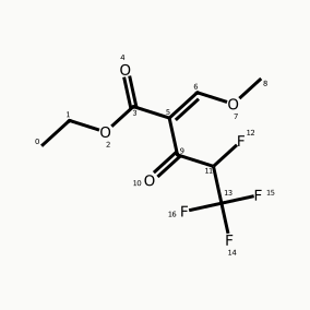 CCOC(=O)C(=COC)C(=O)C(F)C(F)(F)F